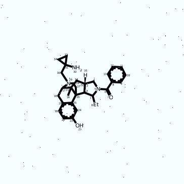 CCC1C2[C@@H](CN1C(=O)c1ccccc1)CC1(C)C3Cc4ccc(O)cc4C21CCN3CC1(N)CC1